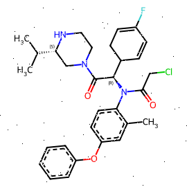 Cc1cc(Oc2ccccc2)ccc1N(C(=O)CCl)[C@@H](C(=O)N1CCN[C@@H](C(C)C)C1)C1C=CC(F)=CC1